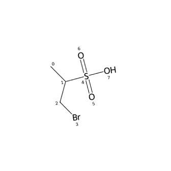 CC(CBr)S(=O)(=O)O